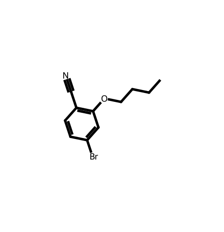 CCCCOc1cc(Br)ccc1C#N